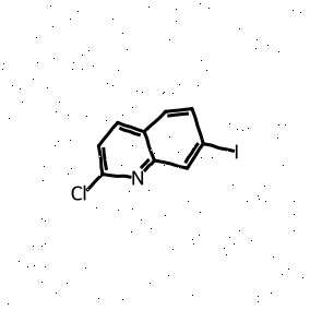 Clc1ccc2ccc(I)cc2n1